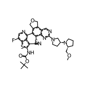 COC[C@@H]1CCCN1[C@H]1CCN(c2ncc3c4c(c(-c5ncc(F)c6sc(NC(=O)OC(C)(C)C)c(C#N)c56)c(F)c3n2)COC4)C1